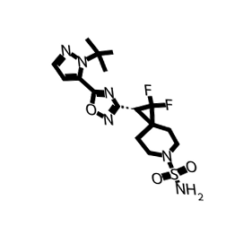 CC(C)(C)n1nccc1-c1nc([C@@H]2C(F)(F)C23CCN(S(N)(=O)=O)CC3)no1